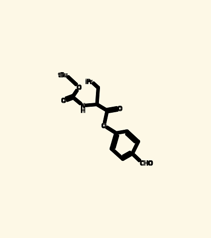 CC(C)CC(NC(=O)OC(C)(C)C)C(=O)Oc1ccc(C=O)cc1